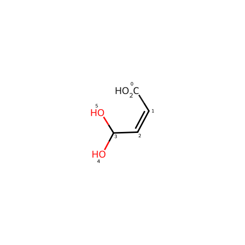 O=C(O)/C=C\C(O)O